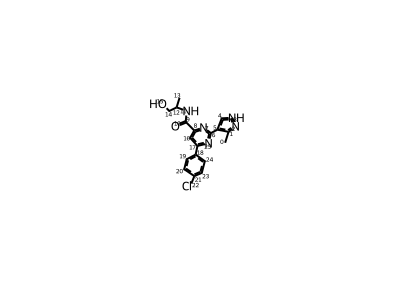 Cc1n[nH]cc1-c1nc(C(=O)NC(C)CO)cc(-c2ccc(Cl)cc2)n1